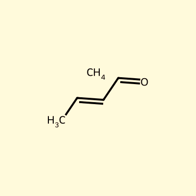 C.C/C=C/C=O